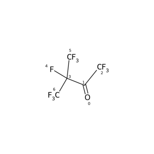 O=C(C(F)(F)F)C(F)(C(F)(F)F)C(F)(F)F